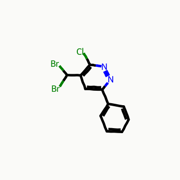 Clc1nnc(-c2ccccc2)cc1C(Br)Br